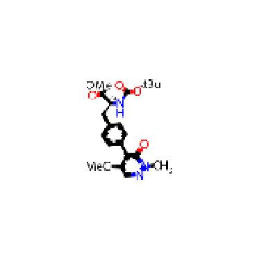 COC(=O)[C@H](Cc1ccc(-c2c(OC)cnn(C)c2=O)cc1)NC(=O)OC(C)(C)C